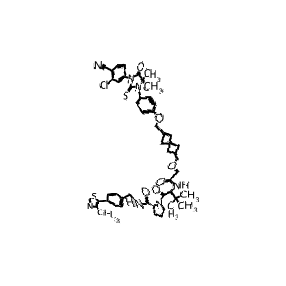 Cc1ncsc1-c1ccc(CNC(=O)[C@@H]2CCCN2C(=O)C(NC(=O)COCC2CC3(C2)CC(COc2ccc(N4C(=S)N(c5ccc(C#N)c(Cl)c5)C(=O)C4(C)C)cc2)C3)C(C)(C)C)cc1